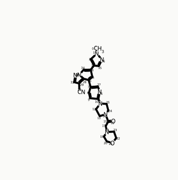 Cn1cc(-c2cc(-c3ccc(N4CCN(C(=O)CN5CCOCC5)CC4)nc3)c3c(C#N)cnn3c2)cn1